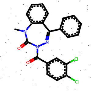 CN1C(=O)N(C(=O)c2ccc(Cl)c(Cl)c2)N=C(c2ccccc2)c2ccccc21